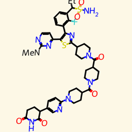 CCC(c1cccc(-c2nc(C3CCN(C(=O)C4CCN(C(=O)C5CCN(c6ccc(C7CCC(=O)NC7=O)cn6)CC5)CC4)CC3)sc2-c2ccnc(NC)n2)c1F)S(N)(=O)=O